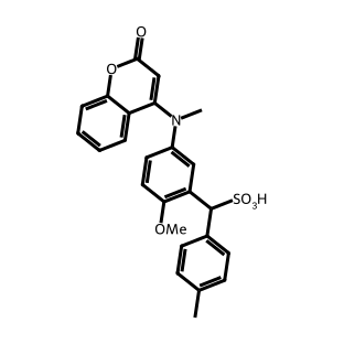 COc1ccc(N(C)c2cc(=O)oc3ccccc23)cc1C(c1ccc(C)cc1)S(=O)(=O)O